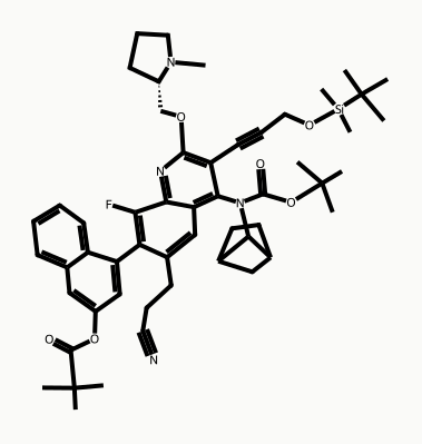 CN1CCC[C@H]1COc1nc2c(F)c(-c3cc(OC(=O)C(C)(C)C)cc4ccccc34)c(CCC#N)cc2c(N(C(=O)OC(C)(C)C)C2C3CCC2C3)c1C#CCO[Si](C)(C)C(C)(C)C